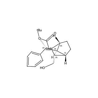 C[C@@H](c1ccccc1)N1[C@@H]2CC[C@@H]([C@H]2NC(=O)OC(C)(C)C)[C@@H]1CO